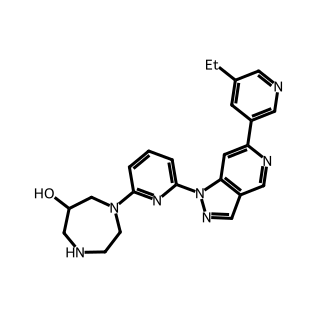 CCc1cncc(-c2cc3c(cn2)cnn3-c2cccc(N3CCNCC(O)C3)n2)c1